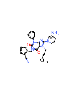 CC#CCn1c(N2CCC[C@@H](N)C2)nc2c1c(=O)n(Cc1ccccc1C#N)c(=O)n2-c1ccccc1